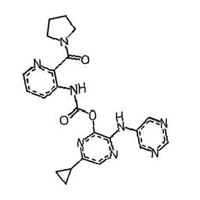 O=C(Nc1cccnc1C(=O)N1CCCC1)Oc1nc(C2CC2)cnc1Nc1cncnc1